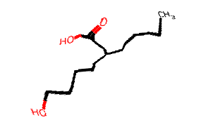 CCCCC(CCCCO)C(=O)O